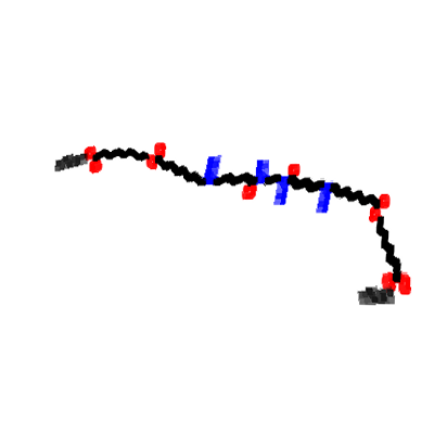 CCCCCCCCCOC(=O)CCCCCCCOC(=O)CCCCCCCNCCCCC(=O)NCCNC(=O)CCCCNCCCCCCCC(=O)OCCCCCCCC(=O)OCCCCCCCCC